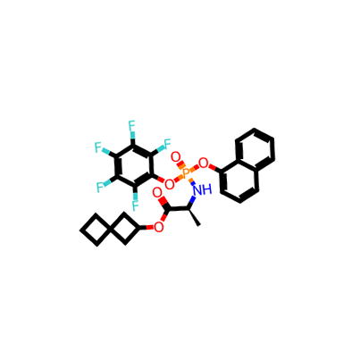 C[C@H](NP(=O)(Oc1c(F)c(F)c(F)c(F)c1F)Oc1cccc2ccccc12)C(=O)OC1CC2(CCC2)C1